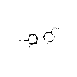 CCCCC1CCOC(c2ccc(C#N)c(F)c2)C1